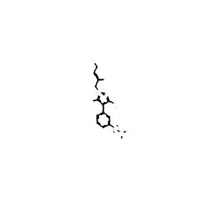 Cc1c(-c2cccc(S(=O)(=O)N(C)C)c2)c(Cl)nn1CC(F)=CCN